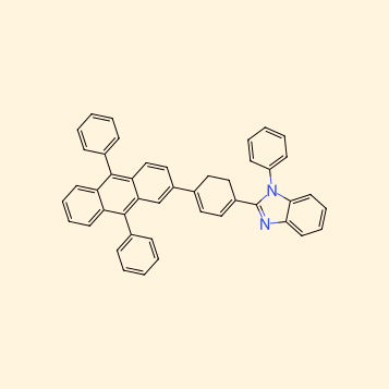 C1=C(c2ccc3c(-c4ccccc4)c4ccccc4c(-c4ccccc4)c3c2)CCC(c2nc3ccccc3n2-c2ccccc2)=C1